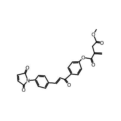 C=C(CC(=O)OC)C(=O)Oc1ccc(C(=O)/C=C/c2ccc(N3C(=O)C=CC3=O)cc2)cc1